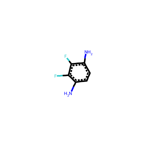 Nc1ccc(N)c(F)c1F